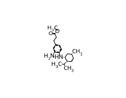 COC(=O)CCc1ccc(N[C@@H]2C[C@H](C)CC[C@H]2C(C)C)c(N)c1